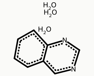 O.O.O.c1ccc2ncncc2c1